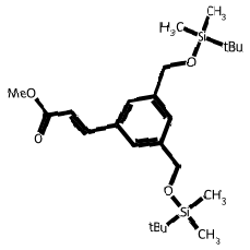 COC(=O)/C=C/c1cc(CO[Si](C)(C)C(C)(C)C)cc(CO[Si](C)(C)C(C)(C)C)c1